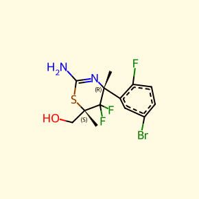 C[C@@]1(CO)SC(N)=N[C@](C)(c2cc(Br)ccc2F)C1(F)F